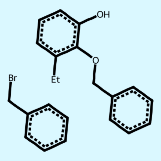 BrCc1ccccc1.CCc1cccc(O)c1OCc1ccccc1